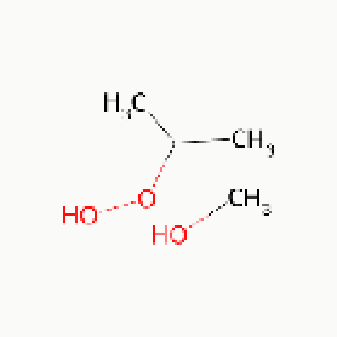 CC(C)OO.CO